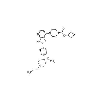 CCCN1CCC(OC)(c2ccc(-c3cc4c(N5CCN(C(=O)OC6COC6)CC5)ccnc4[nH]3)nc2)CC1